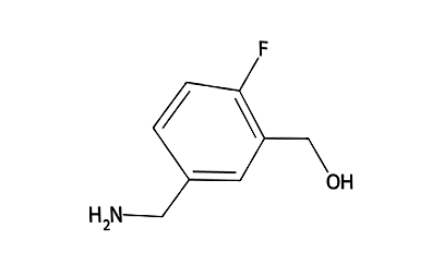 NCc1ccc(F)c(CO)c1